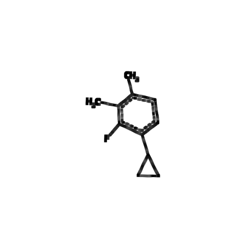 Cc1ccc(C2CC2)c(F)c1C